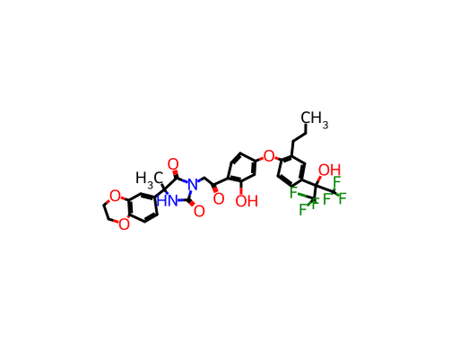 CCCc1cc(C(O)(C(F)(F)F)C(F)(F)F)ccc1Oc1ccc(C(=O)CN2C(=O)NC(C)(c3ccc4c(c3)OCCO4)C2=O)c(O)c1